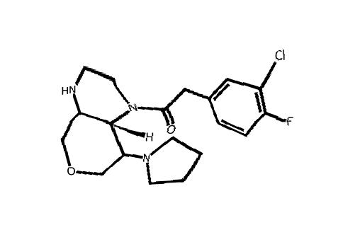 O=C(Cc1ccc(F)c(Cl)c1)N1CCNC2COCC(N3CCCC3)[C@H]21